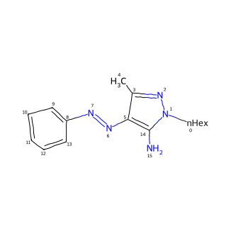 CCCCCCn1nc(C)c(N=Nc2ccccc2)c1N